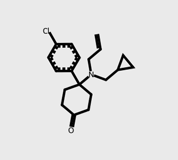 C=CCN(CC1CC1)C1(c2ccc(Cl)cc2)CCC(=O)CC1